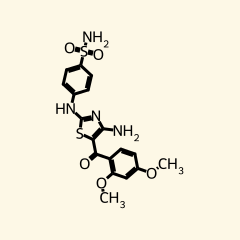 COc1ccc(C(=O)c2sc(Nc3ccc(S(N)(=O)=O)cc3)nc2N)c(OC)c1